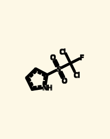 O=S(=O)(c1ccc[nH]1)C(F)(Cl)Cl